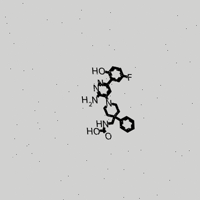 Nc1nnc(-c2cc(F)ccc2O)cc1N1CCC(CNC(=O)O)(c2ccccc2)CC1